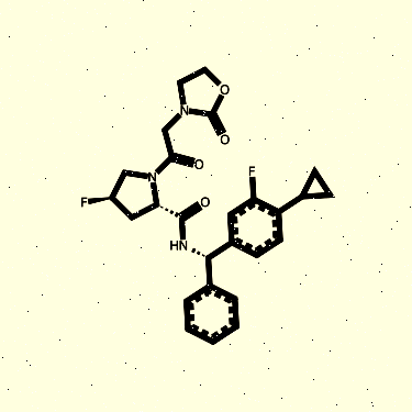 O=C(N[C@@H](c1ccccc1)c1ccc(C2CC2)c(F)c1)[C@@H]1C[C@@H](F)CN1C(=O)CN1CCOC1=O